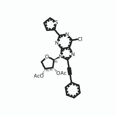 CC(=O)O[C@H]1[C@H](n2c(C#Cc3ccccc3)nc3c(Cl)nc(-c4cccs4)nc32)OC[C@H]1OC(C)=O